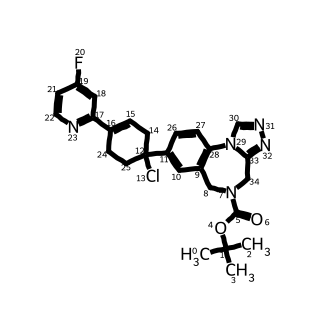 CC(C)(C)OC(=O)N1Cc2cc(C3(Cl)CC=C(c4cc(F)ccn4)CC3)ccc2-n2cnnc2C1